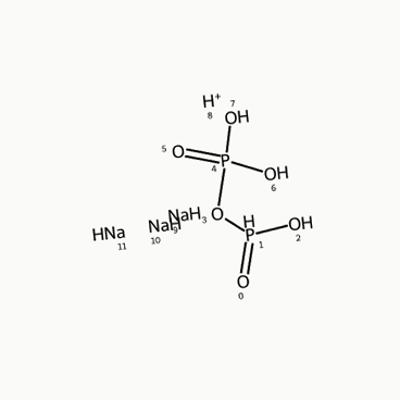 O=[PH](O)OP(=O)(O)O.[H+].[NaH].[NaH].[NaH]